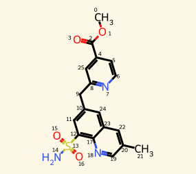 COC(=O)c1ccnc(Cc2cc(S(N)(=O)=O)c3ncc(C)cc3c2)c1